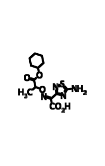 CC(ON=C(C(=O)O)c1nsc(N)n1)C(=O)OC1CCCCC1